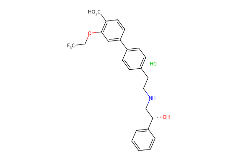 Cl.O=C(O)c1ccc(-c2ccc(CCNC[C@H](O)c3ccccc3)cc2)cc1OCC(F)(F)F